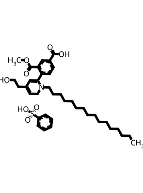 CCCCCCCCCCCCCCCCN1CC=C(CCO)C=C1c1ccc(C(=O)O)cc1C(=O)OC.O=S(=O)(O)c1ccccc1